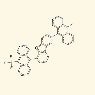 Cc1c2ccccc2c(-c2ccc3oc4c(-c5c6ccccc6c(C(F)(F)F)c6ccccc56)cccc4c3c2)c2ccccc12